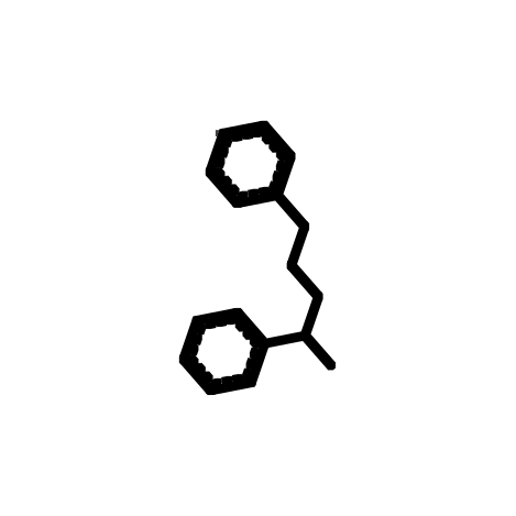 CC(CCCc1cc[c]cc1)c1ccccc1